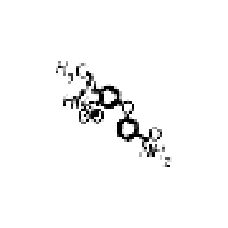 CCN1CNS(=O)(=O)c2cc(Oc3cccc(C(N)=O)c3)ccc21